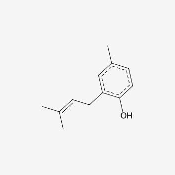 CC(C)=CCc1cc(C)ccc1O